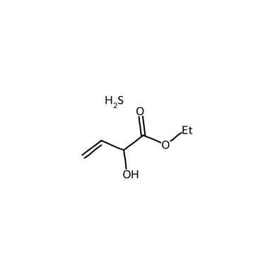 C=CC(O)C(=O)OCC.S